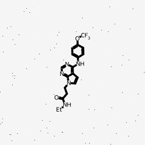 CCNC(=O)CCn1ccc2c(Nc3ccc(OC(F)(F)F)cc3)ncnc21